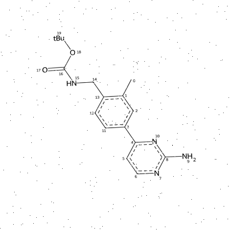 Cc1cc(-c2ccnc(N)n2)ccc1CNC(=O)OC(C)(C)C